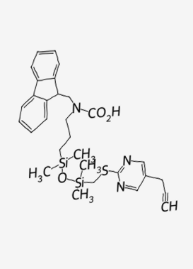 C#CCc1cnc(SC[Si](C)(C)O[Si](C)(C)CCCN(CC2c3ccccc3-c3ccccc32)C(=O)O)nc1